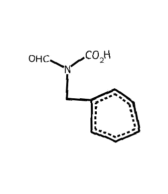 O=CN(Cc1ccccc1)C(=O)O